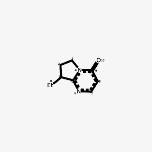 CCC1CCn2c1nccc2=O